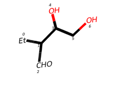 CCC(C=O)C(O)CO